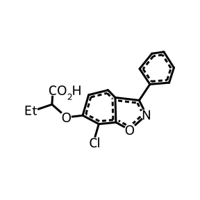 CCC(Oc1ccc2c(-c3ccccc3)noc2c1Cl)C(=O)O